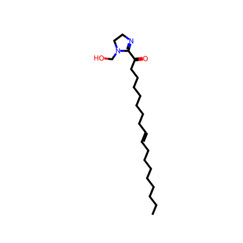 CCCCCCCCC=CCCCCCCCC(=O)C1=NCCN1CO